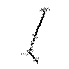 N/N=C(/CCCCCCCCCCCCCCCC(=O)NCCOCCOCC(=O)NC(CCCCNC(=O)CI)C(=O)O)NN